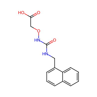 O=C(O)CONC(=O)NCc1cccc2ccccc12